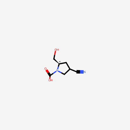 N#CC1C[C@H](CO)N(C(=O)O)C1